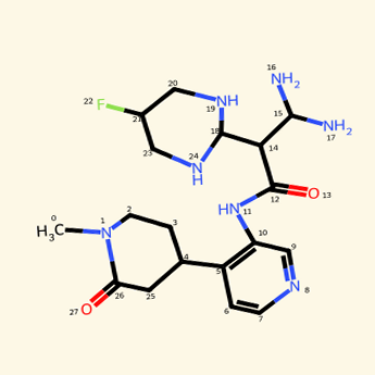 CN1CCC(c2ccncc2NC(=O)C(C(N)N)C2NCC(F)CN2)CC1=O